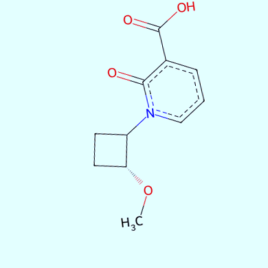 CO[C@@H]1CCC1n1cccc(C(=O)O)c1=O